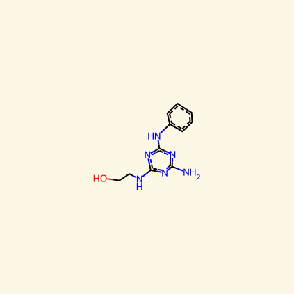 Nc1nc(NCCO)nc(Nc2ccccc2)n1